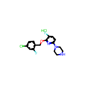 Cl.Fc1cc(Cl)ccc1COc1nc(N2CCNCC2)ccc1F